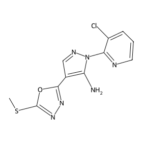 CSc1nnc(-c2cnn(-c3ncccc3Cl)c2N)o1